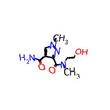 CN(CCO)C(=O)c1nn(C)cc1C(N)=O